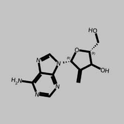 C=C1C(O)[C@@H](CO)O[C@H]1n1cnc2c(N)ncnc21